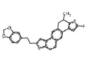 CC1Cc2cc3c(ccc4sc(CCc5ccc6c(c5)OCO6)cc43)cc2-c2cc(F)sc21